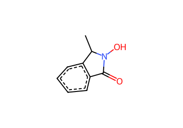 CC1c2ccccc2C(=O)N1O